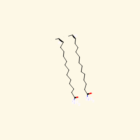 CCCCCCCC/C=C\CCCCCCCCCCCC(N)=O.CCCCCCCC/C=C\CCCCCCCCCCCC(N)=O